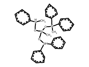 C[SiH](O[Si](C)(O[SiH](c1ccccc1)c1ccccc1)O[Si](C)(c1ccccc1)c1ccccc1)c1ccccc1